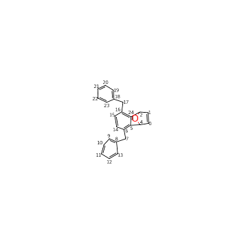 C1=CC2OC1c1c(Cc3ccccc3)ccc(Cc3ccccc3)c12